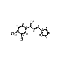 O=C(/C=C/c1ccco1)c1ccc(Cl)c(Cl)c1